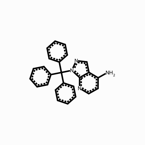 Nc1ccnc2c1cnn2C(c1ccccc1)(c1ccccc1)c1ccccc1